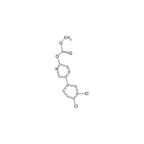 COC(=O)Oc1ccc(-c2ccc(Cl)c(Cl)c2)cn1